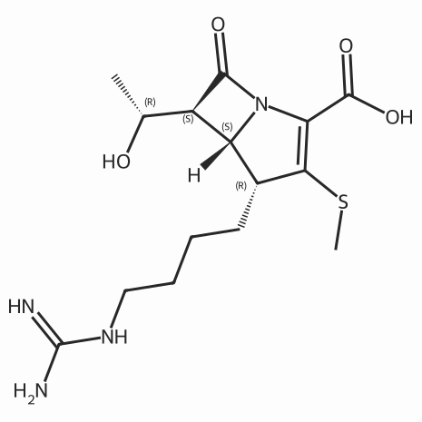 CSC1=C(C(=O)O)N2C(=O)[C@H]([C@@H](C)O)[C@H]2[C@H]1CCCCNC(=N)N